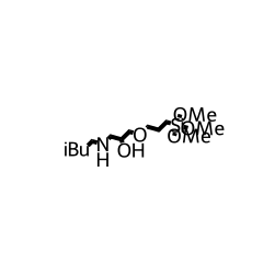 CCC(C)CNCC(O)COCCC[Si](OC)(OC)OC